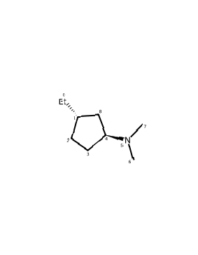 CC[C@H]1CC[C@H](N(C)C)C1